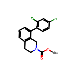 CC(C)(C)OC(=O)N1CCc2cccc(-c3ccc(Cl)cc3F)c2C1